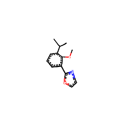 COc1c(-c2ncco2)cccc1C(C)C